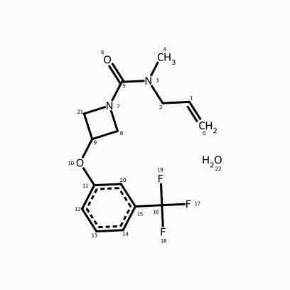 C=CCN(C)C(=O)N1CC(Oc2cccc(C(F)(F)F)c2)C1.O